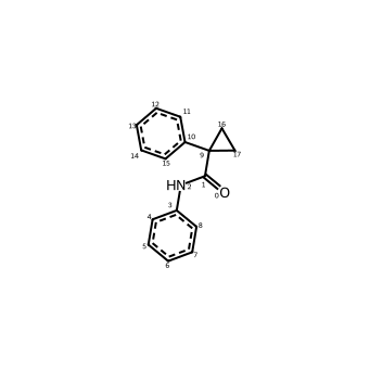 O=C(Nc1ccccc1)C1(c2ccccc2)CC1